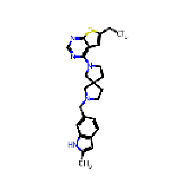 Cc1cc2ccc(CN3CCC4(CCN(c5ncnc6sc(CC(F)(F)F)cc56)C4)C3)cc2[nH]1